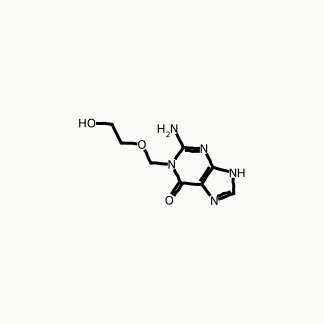 Nc1nc2[nH]cnc2c(=O)n1COCCO